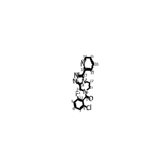 O=C(c1c(F)cccc1Cl)N1CCn2c(nnc2-c2ccccn2)C1